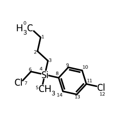 CCCC[Si](C)(CCl)c1ccc(Cl)cc1